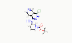 CC(C)(C)OC(=O)N1CCCC(Nc2nnc(Cl)c3cnccc23)C1